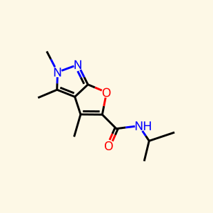 Cc1c(C(=O)NC(C)C)oc2nn(C)c(C)c12